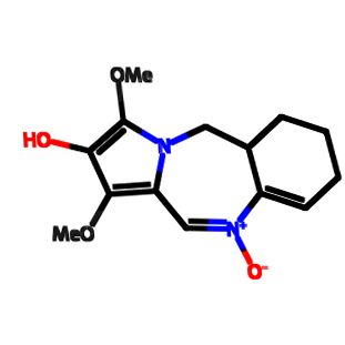 COc1c(O)c(OC)n2c1C=[N+]([O-])C1=CCCCC1C2